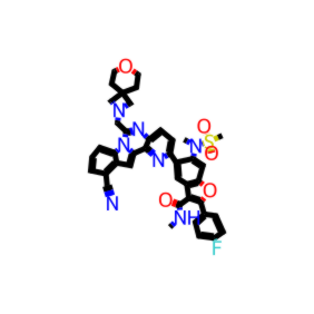 CNC(=O)c1c(-c2ccc(F)cc2)oc2cc(N(C)S(C)(=O)=O)c(-c3ccc4nc(CN5CC6(CCOCC6)C5)n5c6cccc(C#N)c6cc5c4n3)cc12